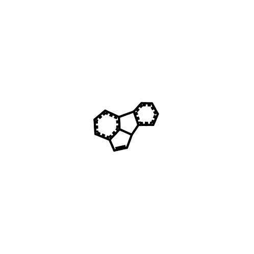 C1=CC2c3ccccc3-c3cccc1c32